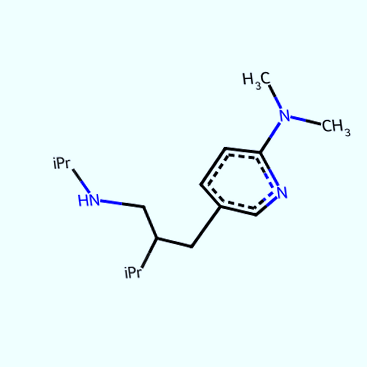 CC(C)NCC(Cc1ccc(N(C)C)nc1)C(C)C